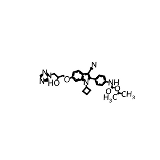 CC(C)OC(=O)Nc1ccc(-c2c(C#N)c3ccc(OCC(O)Cn4cncn4)cc3n2C2CCC2)cc1